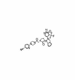 N#Cc1ccc(N2CCN(C(=O)C[C@@H]3CC[C@@H]([C@@H]4c5ccccc5CN4c4cn[nH]c(=O)c4C(F)(F)F)C3=O)CC2)nc1